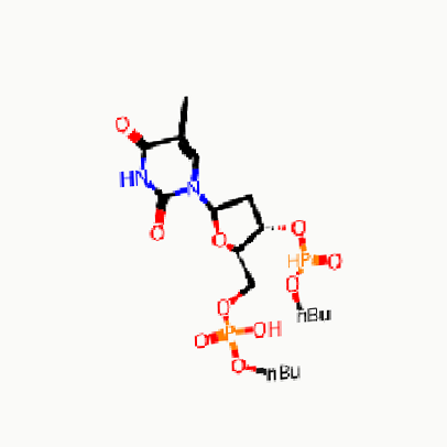 CCCCO[PH](=O)O[C@H]1CC(n2cc(C)c(=O)[nH]c2=O)O[C@@H]1COP(=O)(O)OCCCC